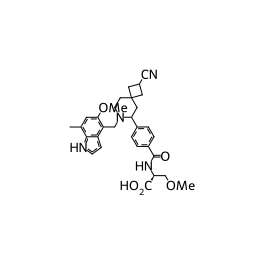 COC[C@H](NC(=O)c1ccc(C2CC3(CCN2Cc2c(OC)cc(C)c4[nH]ccc24)CC(C#N)C3)cc1)C(=O)O